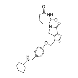 O=C1CCCC(N2Cc3c(csc3COc3ccc(CNC4CCCCC4)cc3)C2=O)C(=O)N1